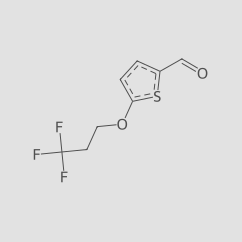 O=Cc1ccc(OCCC(F)(F)F)s1